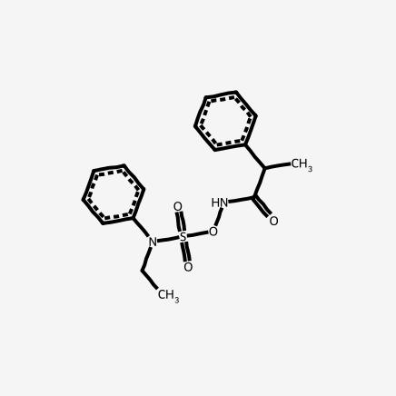 CCN(c1ccccc1)S(=O)(=O)ONC(=O)C(C)c1ccccc1